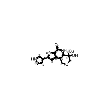 CCC(C)[C@@]1(O)COCc2c1[nH]c(=O)c1sc(-c3cn[nH]c3)cc21